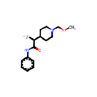 COCN1CCC(C(C)C(=O)Nc2ccccc2)CC1